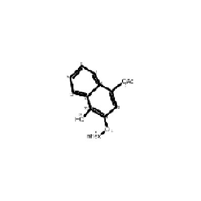 CCCCCCOc1cc(OC(C)=O)c2ccccc2c1O